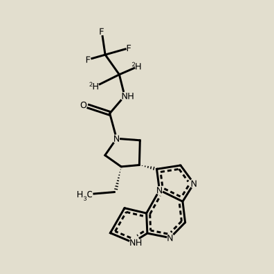 [2H]C([2H])(NC(=O)N1C[C@@H](CC)[C@@H](c2cnc3cnc4[nH]ccc4n23)C1)C(F)(F)F